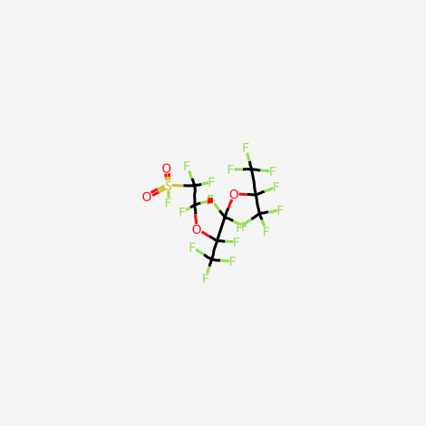 O=S(=O)(F)C(F)(F)C(F)(F)OC(F)(C(F)(F)F)C(F)(F)OC(F)(C(F)(F)F)C(F)(F)F